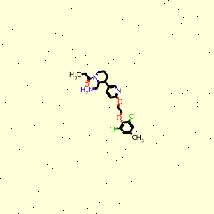 CCC(=O)N1CCCC(c2ccc(OCCOc3c(Cl)cc(C)cc3Cl)nc2)C1CN